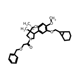 COc1ccc(C2CN(C(=O)COCc3ccccc3)CC2(C)[C@H](C)O)cc1OCC1C2CCCCC21